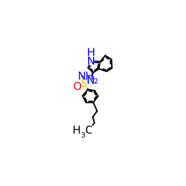 CCCCc1ccc(S(N)(=O)=Nc2c[nH]c3ccccc23)cc1